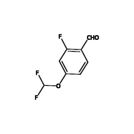 O=Cc1ccc(OC(F)F)cc1F